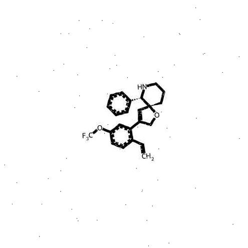 C=Cc1ccc(OC(F)(F)F)cc1C1=C[C@@]2(CCCN[C@H]2c2ccccc2)OC1